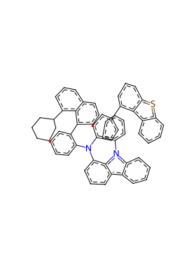 c1ccc(-n2c3ccccc3c3cccc(N(c4ccc(-c5cccc6sc7ccccc7c56)cc4)c4ccccc4-c4cccc5cccc(C6CCCCC6)c45)c32)cc1